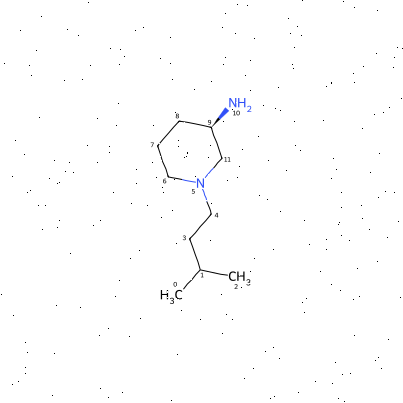 CC(C)CCN1CCC[C@@H](N)C1